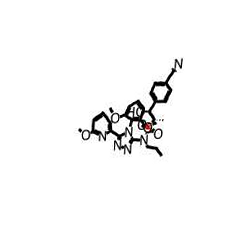 CCCN(c1nnc(-c2cccc(OC)n2)n1-c1c(OC)cccc1OC)S(=O)(=O)[C@@H](C)[C@@H](O)c1ccc(C#N)cc1